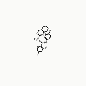 NC1=N[C@@]2(c3cc(NC(=O)c4ncc(F)cc4F)ccc3F)CCCCC2CO1